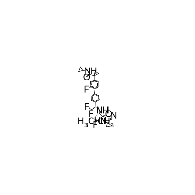 CC(C)(F)C[C@H](N[C@@H](c1ccc(-c2ccc(C3(C(=O)NC4CC4)CC3)cc2F)cc1)C(F)F)C(=O)NC1(C#N)CC1